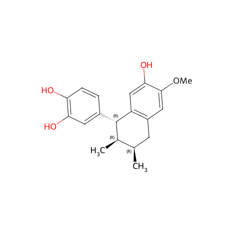 COc1cc2c(cc1O)[C@@H](c1ccc(O)c(O)c1)[C@H](C)[C@H](C)C2